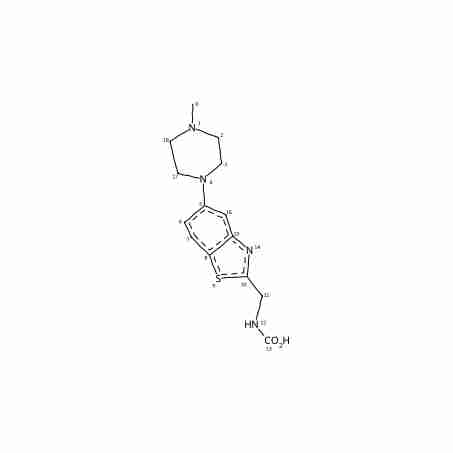 CN1CCN(c2ccc3sc(CNC(=O)O)nc3c2)CC1